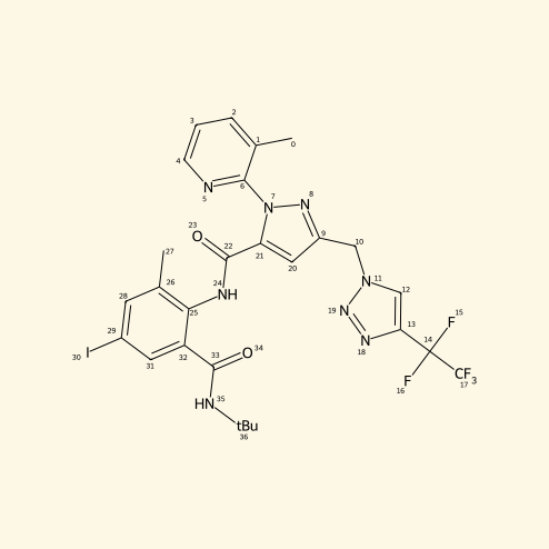 Cc1cccnc1-n1nc(Cn2cc(C(F)(F)C(F)(F)F)nn2)cc1C(=O)Nc1c(C)cc(I)cc1C(=O)NC(C)(C)C